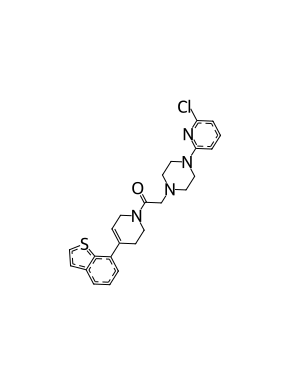 O=C(CN1CCN(c2cccc(Cl)n2)CC1)N1CC=C(c2cccc3ccsc23)CC1